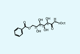 CCCCCCCCNC(=O)[C@H](O)[C@@H](O)[C@H](O)[C@H](O)COC(=O)c1ccccc1